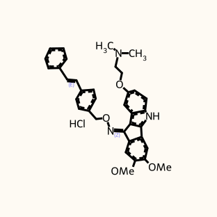 COc1cc2c(cc1OC)-c1[nH]c3ccc(OCCN(C)C)cc3c1/C2=N\OCc1ccc(/C=C/c2ccccc2)cc1.Cl